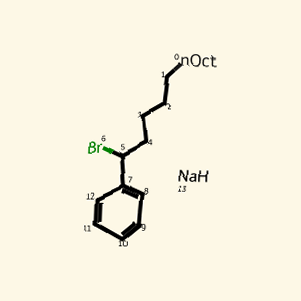 CCCCCCCCCCCCC(Br)c1ccccc1.[NaH]